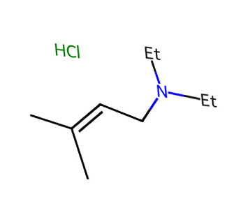 CCN(CC)CC=C(C)C.Cl